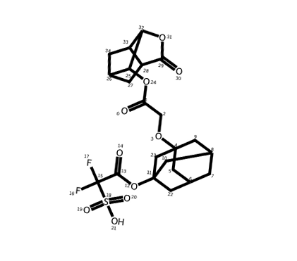 O=C(COC12CC3CC(C1)CC(OC(=O)C(F)(F)S(=O)(=O)O)(C3)C2)OC1C2CC3C(=O)OC1C3C2